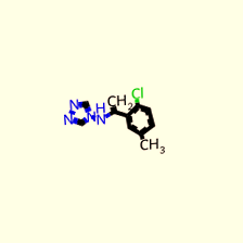 C=C(Nn1cnnc1)c1cc(C)ccc1Cl